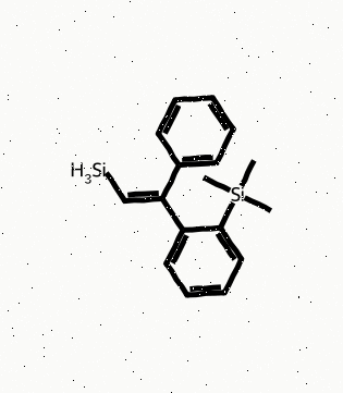 C[Si](C)(C)c1ccccc1C(=C[SiH3])c1ccccc1